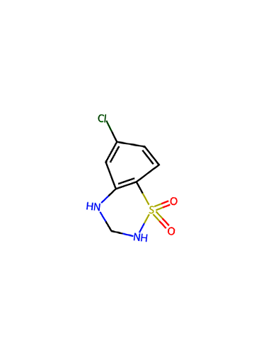 O=S1(=O)NCNc2cc(Cl)ccc21